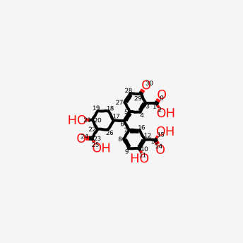 O=C(O)C1=CC(=C(c2ccc(O)c(C(=O)O)c2)C2CCC(O)C(C(=O)O)C2)C=CC1=O